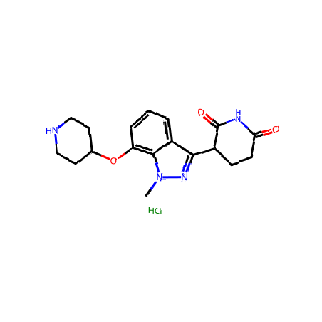 Cl.Cn1nc(C2CCC(=O)NC2=O)c2cccc(OC3CCNCC3)c21